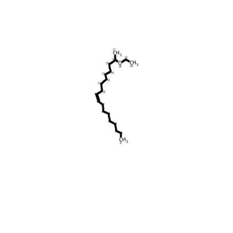 CCCCCCCC/C=C\CCCCCCC(C)OCC